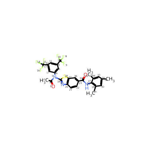 CC(=O)N(c1cc(C(F)(F)F)cc(C(F)(F)F)c1)c1nc2ccc(C(=O)Nc3c(C)cc(C)cc3C)cc2s1